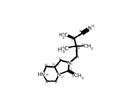 C=C1N(CC(C)(C)C(=C)C#N)CC2CNCCN12